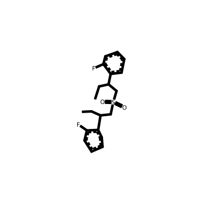 CCC(CS(=O)(=O)CC(CC)c1ccccc1F)c1ccccc1F